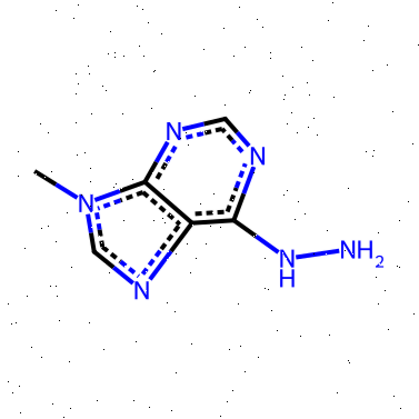 Cn1cnc2c(NN)ncnc21